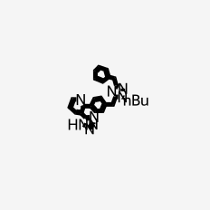 CCCCn1nc(Cc2ccccc2)nc1Cc1ccc(-c2ncccc2-c2nnn[nH]2)cc1